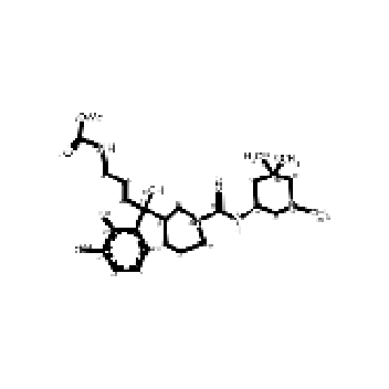 COC(=O)NCCC[C@@](O)(c1cccc(Cl)c1F)[C@@H]1CCCN(C(=O)N[C@@H]2CN(C)CC(C)(C)C2)C1